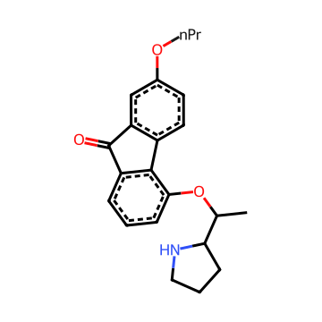 CCCOc1ccc2c(c1)C(=O)c1cccc(OC(C)C3CCCN3)c1-2